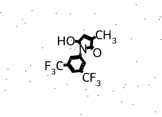 CC1=CC(O)N(c2cc(C(F)(F)F)cc(C(F)(F)F)c2)C1=O